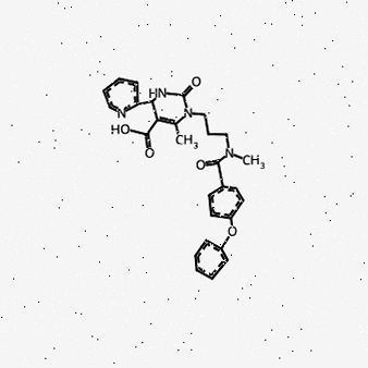 CC1=C(C(=O)O)C(c2ccccn2)NC(=O)N1CCCN(C)C(=O)c1ccc(Oc2ccccc2)cc1